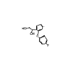 OCC(O)c1cc[c]cc1Oc1ccc(F)cc1